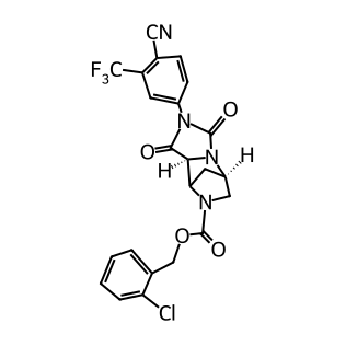 N#Cc1ccc(N2C(=O)[C@@H]3C4C[C@H](CN4C(=O)OCc4ccccc4Cl)N3C2=O)cc1C(F)(F)F